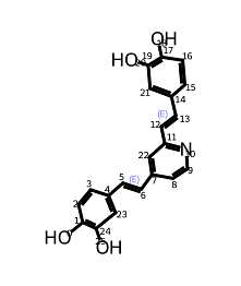 Oc1ccc(/C=C/c2ccnc(/C=C/c3ccc(O)c(O)c3)c2)cc1O